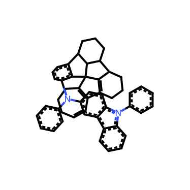 C1=CC2=C(CCC1)C13C4=C2CCCC4C2CCCC(c4cccc(N(c5ccccc5)c5ccc6c(c5)c5ccccc5n6-c5ccccc5)c41)C23